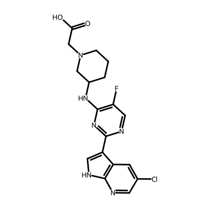 O=C(O)CN1CCCC(Nc2nc(-c3c[nH]c4ncc(Cl)cc34)ncc2F)C1